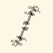 Cc1ccc(C2CN(C)Cc3c(C)cc(Cl)cc32)cc1S(=O)(=O)NCCOCCOCCNC(=O)NCCCCNC(=O)NCCOCCOCCNS(=O)(=O)c1cc(C2CN(C)Cc3c(C)cc(Cl)cc32)ccc1C